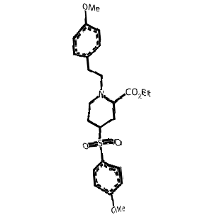 CCOC(=O)C1CC(S(=O)(=O)c2ccc(OC)cc2)CCN1CCc1ccc(OC)cc1